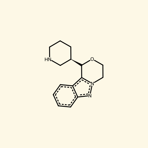 c1ccc2c3n(nc2c1)CCOC3[C@@H]1CCCNC1